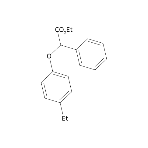 CCOC(=O)C(Oc1ccc(CC)cc1)c1ccccc1